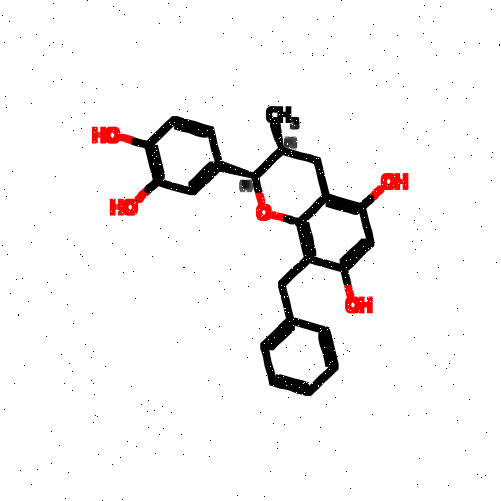 C[C@H]1Cc2c(O)cc(O)c(Cc3ccccc3)c2O[C@H]1c1ccc(O)c(O)c1